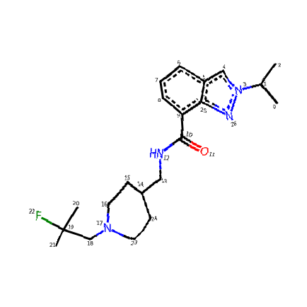 CC(C)n1cc2cccc(C(=O)NCC3CCN(CC(C)(C)F)CC3)c2n1